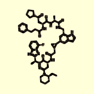 CC[C@H]1CCCCN1C(=O)C[C@H](NC(=O)CC1CC1c1cc(CNC(=O)[C@H](C)NC(=O)[C@H](CC(=O)N2CCCC2)NC(=O)CCc2ccccc2)c2[nH]ccc2c1)C(=O)N[C@@H](C)c1nc2c(F)cccc2[nH]1